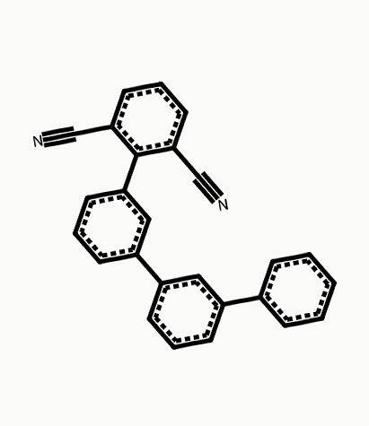 N#Cc1cccc(C#N)c1-c1cccc(-c2cccc(-c3ccccc3)c2)c1